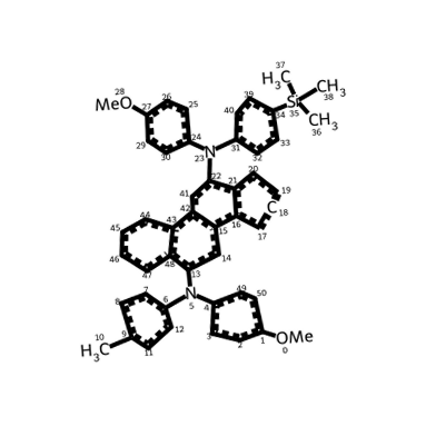 COc1ccc(N(c2ccc(C)cc2)c2cc3c4ccccc4c(N(c4ccc(OC)cc4)c4ccc([Si](C)(C)C)cc4)cc3c3ccccc23)cc1